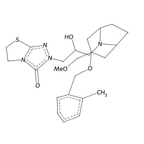 COCC1(OCc2ccccc2C)CC2CCC(C1)N2CC(O)Cn1nc2n(c1=O)CCS2